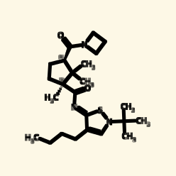 CCCCc1cn(C(C)(C)C)sc1=NC(=O)[C@@]1(C)CC[C@@H](C(=O)N2CCC2)C1(C)C